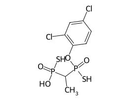 CC(P(=O)(O)S)P(=O)(S)Oc1ccc(Cl)cc1Cl